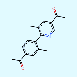 CC(=O)c1ccc(-c2ncc(C(C)=O)cc2C)c(C)c1